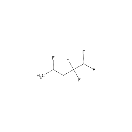 CC(F)CC(F)(F)C(F)F